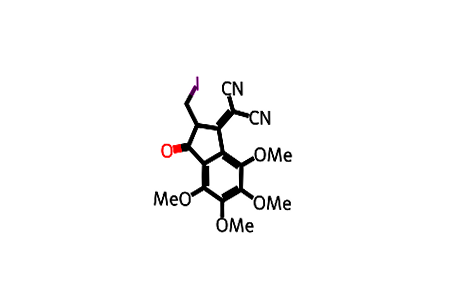 COc1c(OC)c(OC)c2c(c1OC)C(=O)C(CI)C2=C(C#N)C#N